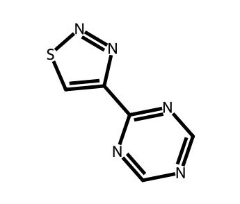 c1ncnc(-c2csnn2)n1